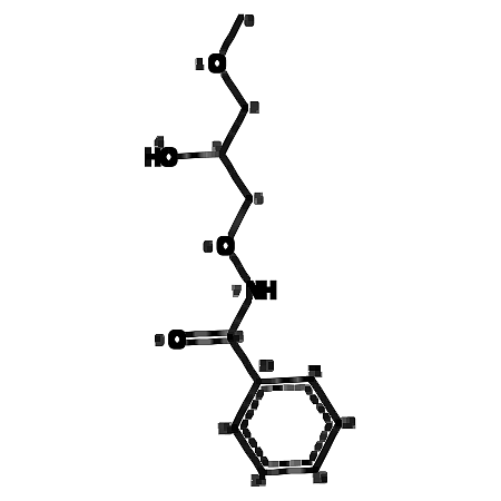 COCC(O)CONC(=O)c1ccccc1